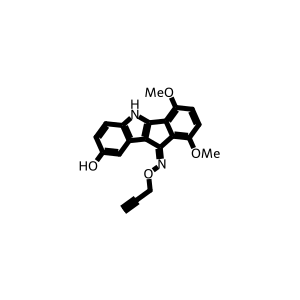 C#CCO/N=C1/c2c(OC)ccc(OC)c2-c2[nH]c3ccc(O)cc3c21